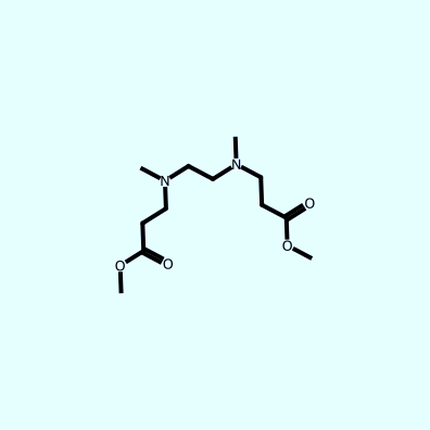 COC(=O)CCN(C)CCN(C)CCC(=O)OC